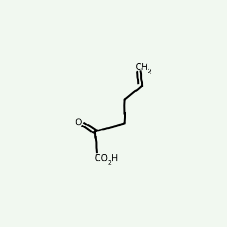 C=CCCC(=O)C(=O)O